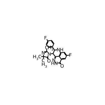 CC1=NC(C)(C)C(=O)N1C1c2n[nH]c(=O)c3cc(F)cc(c23)NC1c1ccc(F)cc1